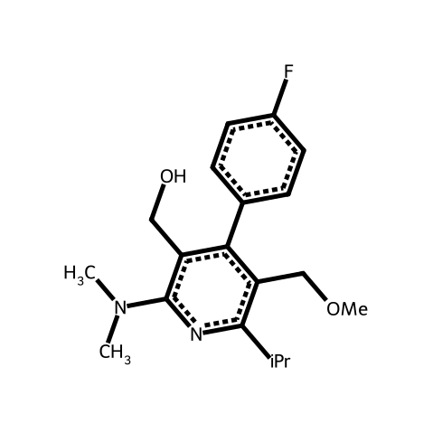 COCc1c(C(C)C)nc(N(C)C)c(CO)c1-c1ccc(F)cc1